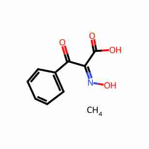 C.O=C(O)C(=NO)C(=O)c1ccccc1